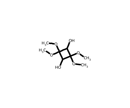 COC1(OC)C(O)C(OC)(OC)C1O